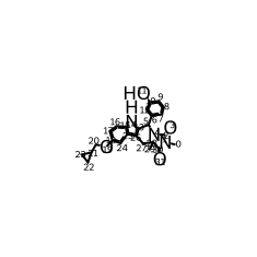 CN1C(=O)N2C(c3cccc(O)c3)c3[nH]c4ccc(OCC5CC5)cc4c3CC2(C)C1=O